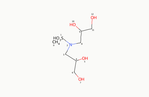 C.O=S(=O)(O)N(CC(O)CO)CC(O)CO